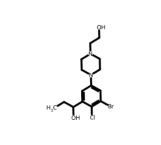 CCC(O)c1cc(N2CCN(CCO)CC2)cc(Br)c1Cl